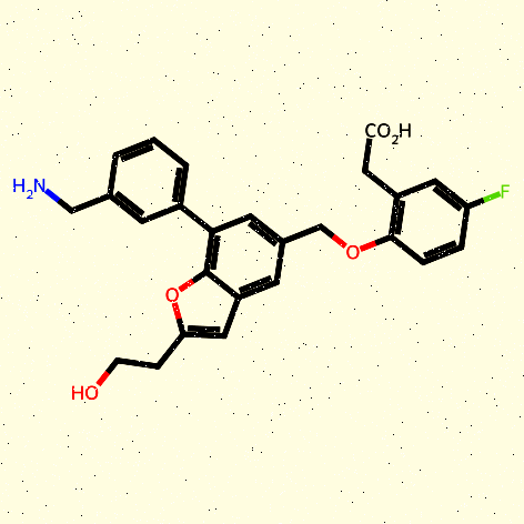 NCc1cccc(-c2cc(COc3ccc(F)cc3CC(=O)O)cc3cc(CCO)oc23)c1